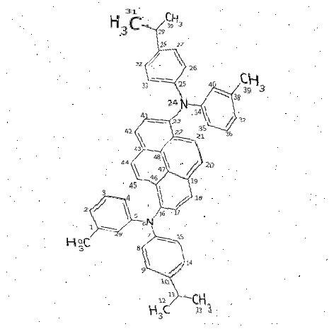 Cc1cccc(N(c2ccc(C(C)C)cc2)c2ccc3ccc4c(N(c5ccc(C(C)C)cc5)c5cccc(C)c5)ccc5ccc2c3c54)c1